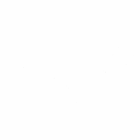 Cc1ccccc1Cc1cc2cc(C(=O)NCc3ccc(S(=O)(=O)CC4CC4)cc3)ccc2n1C(C)C